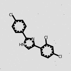 Clc1ccc(-c2nc(-c3ccc(Cl)cc3Cl)c[nH]2)cc1